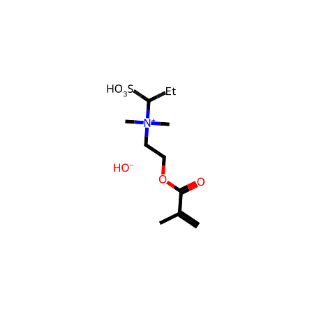 C=C(C)C(=O)OCC[N+](C)(C)C(CC)S(=O)(=O)O.[OH-]